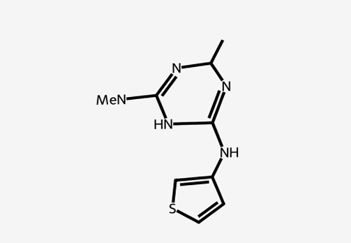 CNC1=NC(C)N=C(Nc2ccsc2)N1